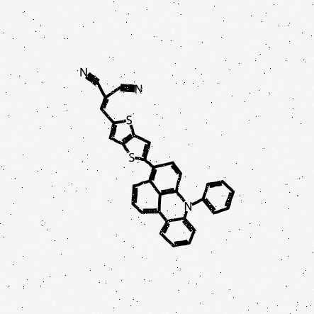 N#CC(C#N)=Cc1cc2sc(-c3ccc4c5c(cccc35)-c3ccccc3N4c3ccccc3)cc2s1